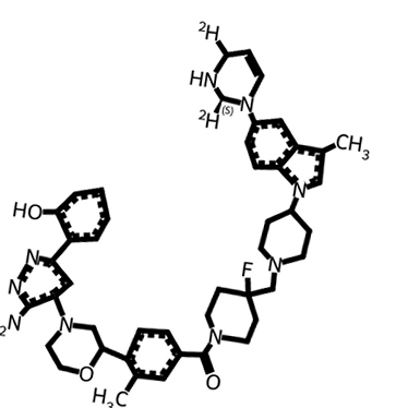 [2H]C1C=CN(c2ccc3c(c2)c(C)cn3C2CCN(CC3(F)CCN(C(=O)c4ccc(C5CN(c6cc(-c7ccccc7O)nnc6N)CCO5)c(C)c4)CC3)CC2)[C@@H]([2H])N1